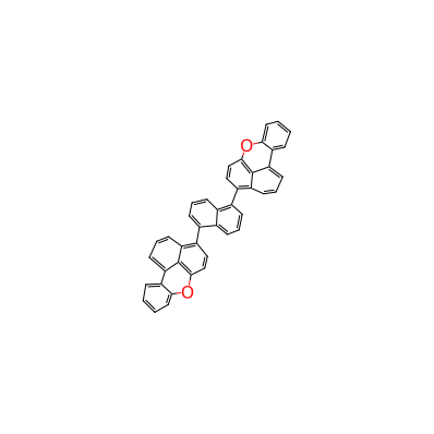 c1ccc2c(c1)Oc1ccc(-c3cccc4c(-c5ccc6c7c(cccc57)-c5ccccc5O6)cccc34)c3cccc-2c13